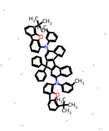 Cc1cccc(N(c2cc3c(c4ccccc24)-c2c(cc(N(c4cccc(C)c4)c4cccc5c4oc4c(C(C)(C)C)cccc45)c4ccccc24)C3(c2ccccc2)c2ccccc2)c2cccc3c2oc2c(C(C)(C)C)cccc23)c1